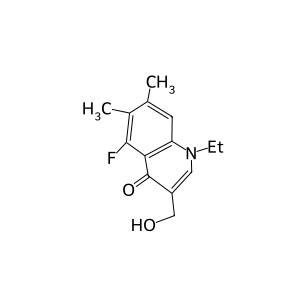 CCn1cc(CO)c(=O)c2c(F)c(C)c(C)cc21